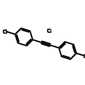 Clc1ccc(C#Cc2ccc(Cl)cc2)cc1.[C]